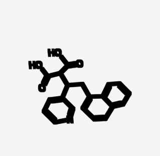 O=C(O)C(C(=O)O)C(Cc1cccc2ccccc12)c1cccnc1